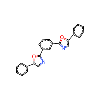 c1ccc(-c2cnc(-c3cccc(-c4ncc(-c5ccccc5)o4)c3)o2)cc1